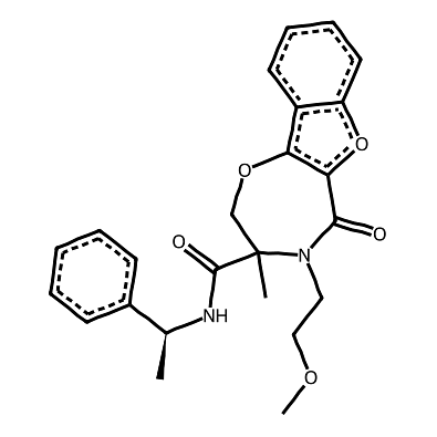 COCCN1C(=O)c2oc3ccccc3c2OCC1(C)C(=O)N[C@@H](C)c1ccccc1